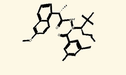 CCC[C@@H](N(NC(=O)[C@@H](C)c1cccc2cc(OC)ccc12)C(=O)c1cc(C)cc(C)c1)C(C)(C)C